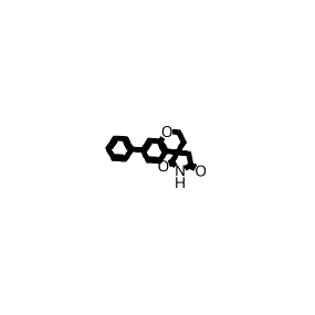 O=C1CC2(CCOc3cc(-c4ccccc4)ccc32)C(=O)N1